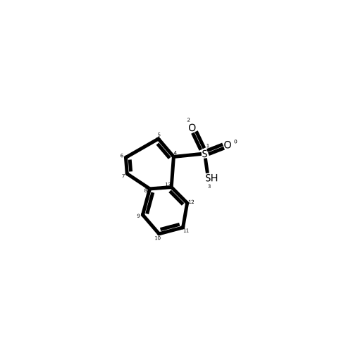 O=S(=O)(S)c1cccc2ccccc12